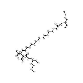 CCCCC(CC)COC(=O)CCCCCCCCCCCCCCCCC(C(C)C)C(C(=O)OCC(CC)CCCC)C(C)C